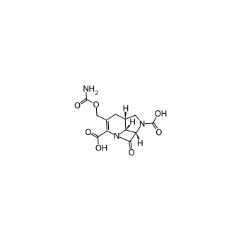 NC(=O)OCC1=C(C(=O)O)N2C(=O)[C@@H]3[C@H]2[C@H](C1)CN3C(=O)O